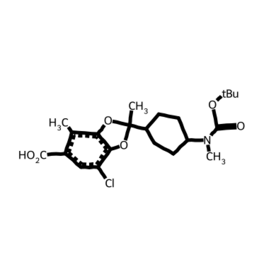 Cc1c(C(=O)O)cc(Cl)c2c1OC(C)(C1CCC(N(C)C(=O)OC(C)(C)C)CC1)O2